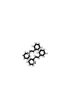 C(=C[n+]1ccccc1)c1ccccc1.C(=Cc1ccccn1)c1ccccc1